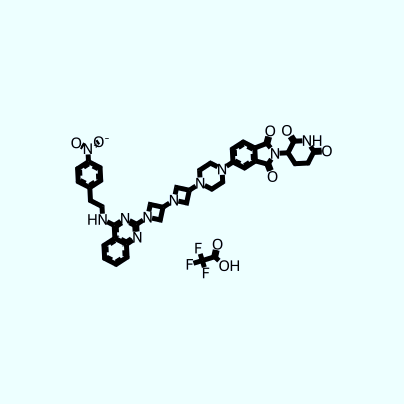 O=C(O)C(F)(F)F.O=C1CCC(N2C(=O)c3ccc(N4CCN(C5CN(C6CN(c7nc(NCCc8ccc([N+](=O)[O-])cc8)c8ccccc8n7)C6)C5)CC4)cc3C2=O)C(=O)N1